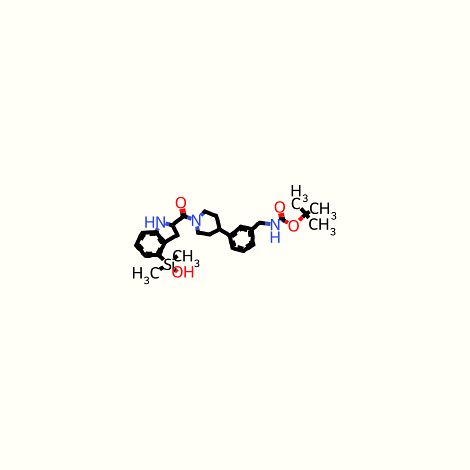 CC(C)(C)OC(=O)NCc1cccc(C2CCN(C(=O)C3Cc4c(cccc4[Si](C)(C)O)N3)CC2)c1